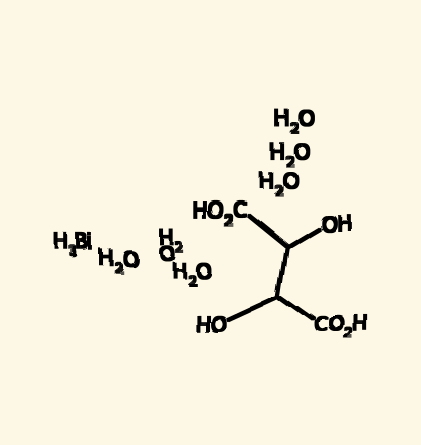 O.O.O.O.O.O.O=C(O)C(O)C(O)C(=O)O.[BiH3]